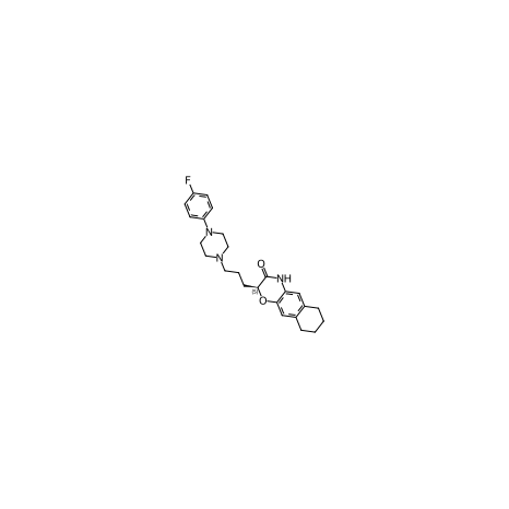 O=C1Nc2cc3c(cc2O[C@H]1CCCN1CCN(c2ccc(F)cc2)CC1)CCCC3